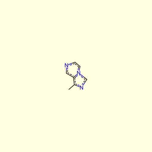 Cc1ncn2ccncc12